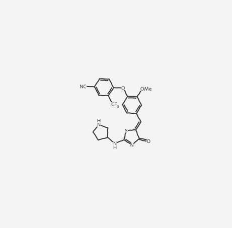 COc1cc(/C=C2\SC(NC3CCNC3)=NC2=O)ccc1Oc1ccc(C#N)cc1C(F)(F)F